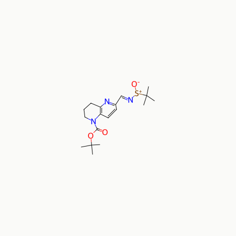 CC(C)(C)OC(=O)N1CCCc2nc(C=N[S+]([O-])C(C)(C)C)ccc21